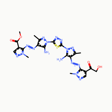 COC(=O)c1cnn(C)c1/N=N/c1c(C)nn(-c2nnc(-n3nc(C)c(/N=N/c4c(C(=O)CO)cnn4C)c3N)s2)c1N